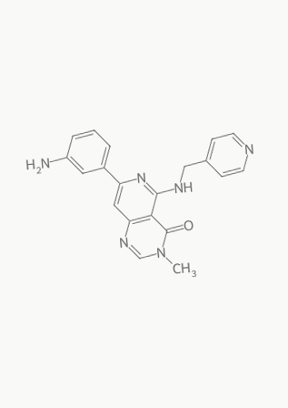 Cn1cnc2cc(-c3cccc(N)c3)nc(NCc3ccncc3)c2c1=O